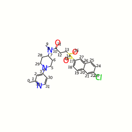 Cc1cc(N2CCC(N(C)C(=O)CCS(=O)(=O)c3ccc4cc(Cl)ccc4c3)CC2)ccn1